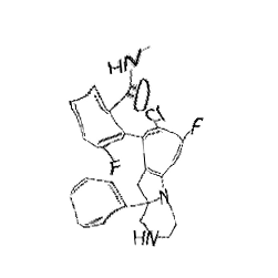 CNC(=O)c1cccc(F)c1-c1c(Cl)c(F)cc2c1CC1(c3ccccc3)CNCCN21